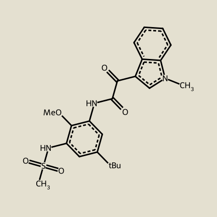 COc1c(NC(=O)C(=O)c2cn(C)c3ccccc23)cc(C(C)(C)C)cc1NS(C)(=O)=O